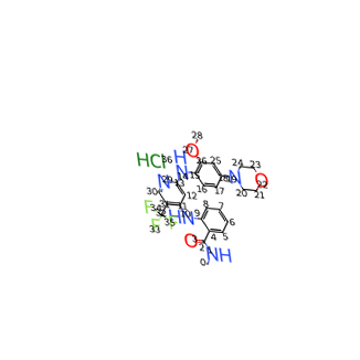 CNC(=O)c1ccccc1Nc1cc(Nc2ccc(N3CCOCC3)cc2OC)ncc1C(F)(F)F.Cl